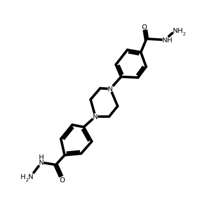 NNC(=O)c1ccc(N2CCN(c3ccc(C(=O)NN)cc3)CC2)cc1